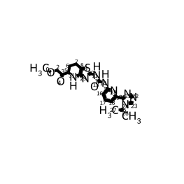 COCC(=O)C1CCc2sc(NC(=O)Nc3cccc(-c4nncn4C(C)C)n3)nc2N1